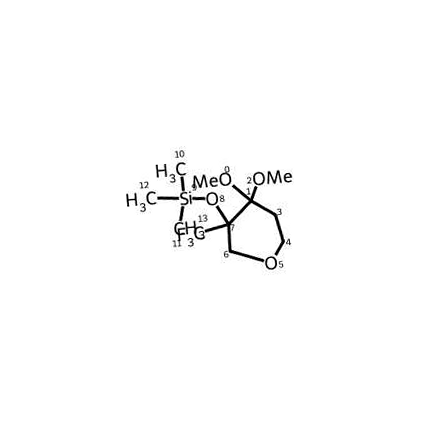 COC1(OC)CCOCC1(O[Si](C)(C)C)C(F)(F)F